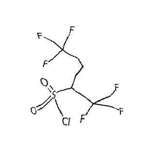 O=S(=O)(Cl)C(CC(F)(F)F)C(F)(F)F